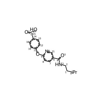 CC(C)CCNC(=O)c1ccc(Oc2ccc([SH](=O)=O)cc2)nc1